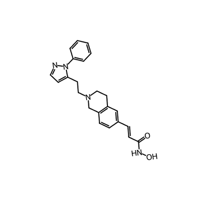 O=C(C=Cc1ccc2c(c1)CCN(CCc1ccnn1-c1ccccc1)C2)NO